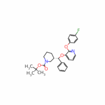 CC(C)(C)OC(=O)N1CCC[C@H](C(Oc2cccnc2Oc2ccc(F)cc2)c2ccccc2)C1